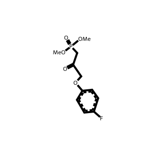 COP(=O)(CC(=O)COc1ccc(F)cc1)OC